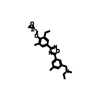 CCc1cc(-c2noc(-c3cc(C)cc(CN(C)CC)c3)n2)cc(C)c1OC[C@@H]1CO1